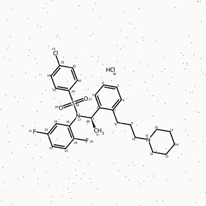 C[C@H](c1ccccc1CCCN1CCCCC1)N(c1cc(F)ccc1F)S(=O)(=O)c1ccc(Cl)cc1.Cl